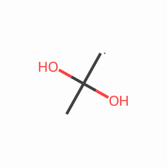 [CH2]C(C)(O)O